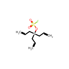 C=CC[Si](CC=C)(CC=C)OS(=O)(=O)F